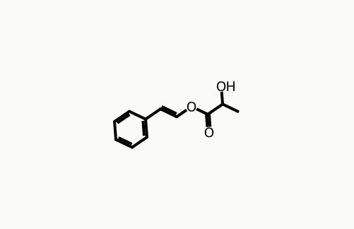 CC(O)C(=O)OC=Cc1ccccc1